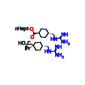 CC(C)[C@]1(C(=O)O)CC[C@H](CNC(=N)N)CC1.CCCCCCCOC(=O)[C@H]1CC[C@H](CNC(=N)N)CC1